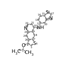 CC(C)Oc1csc2cc3c(Nc4ccc5scnc5c4)ccnc3cc12